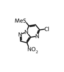 CSc1cc(Cl)nc2c([N+](=O)[O-])cnn12